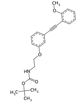 COc1ccccc1C#Cc1cccc(OCCNC(=O)OC(C)(C)C)c1